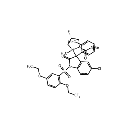 CNC(=O)[C@@H]1C[C@@H](F)C[N+]1(C)C1(c2ccccc2OC)C(=O)N(S(=O)(=O)c2cc(OCC(F)(F)F)ccc2OCC(F)(F)F)c2ccc(Cl)cc21